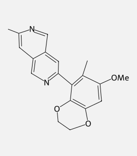 COc1cc2c(c(-c3cc4cnc(C)cc4cn3)c1C)OCCO2